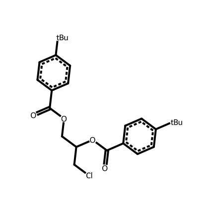 CC(C)(C)c1ccc(C(=O)OCC(CCl)OC(=O)c2ccc(C(C)(C)C)cc2)cc1